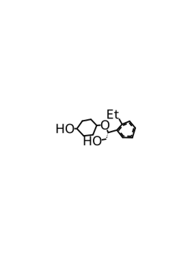 CCc1ccccc1[C@H](CO)OC1CCC(O)CC1